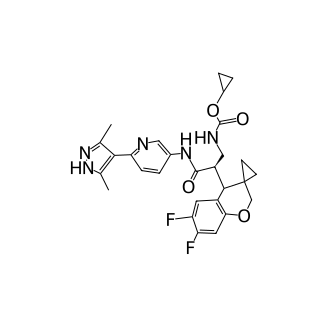 Cc1n[nH]c(C)c1-c1ccc(NC(=O)[C@@H](CNC(=O)OC2CC2)C2c3cc(F)c(F)cc3OCC23CC3)cn1